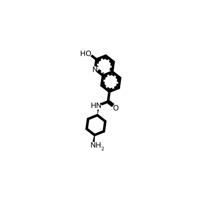 N[C@H]1CC[C@H](NC(=O)c2ccc3ccc(O)nc3c2)CC1